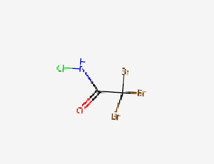 O=C(NCl)C(Br)(Br)Br